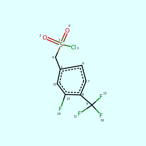 O=S(=O)(Cl)Cc1ccc(C(F)(F)F)c(F)c1